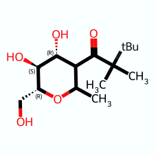 CC1O[C@H](CO)[C@@H](O)[C@H](O)C1C(=O)C(C)(C)C(C)(C)C